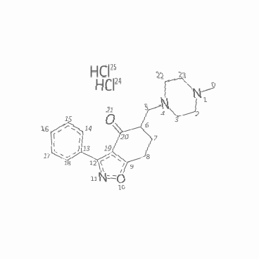 CN1CCN(CC2CCc3onc(-c4ccccc4)c3C2=O)CC1.Cl.Cl